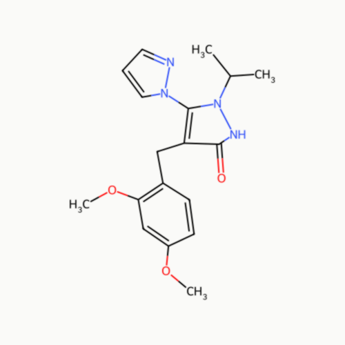 COc1ccc(Cc2c(-n3cccn3)n(C(C)C)[nH]c2=O)c(OC)c1